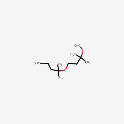 CC(C)(CCOC(C)(C)CCC=O)OC=O